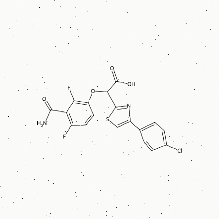 NC(=O)c1c(F)ccc(OC(C(=O)O)c2nc(-c3ccc(Cl)cc3)cs2)c1F